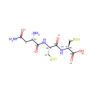 NC(=O)C[C@H](N)C(=O)N[C@@H](CS)C(=O)N[C@@H](CS)C(=O)O